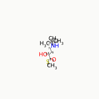 CSC(=O)C(O)CCNC(C)(C)C